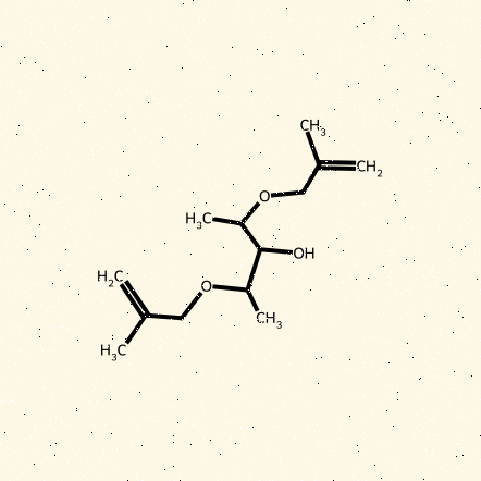 C=C(C)COC(C)C(O)C(C)OCC(=C)C